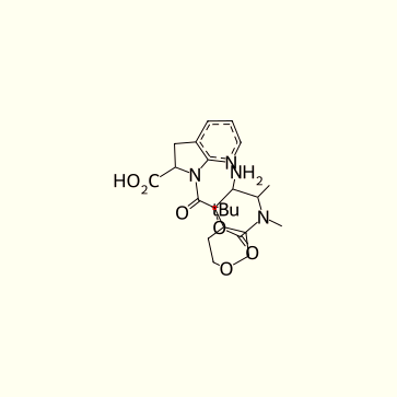 CC(C(N)C(C(=O)N1c2ncccc2CC1C(=O)O)C1CCOCC1)N(C)C(=O)OC(C)(C)C